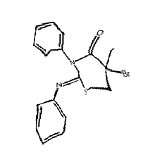 CC1(Br)CSC(=Nc2ccccc2)N(c2ccccc2)C1=O